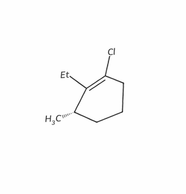 CCC1=C(Cl)CCC[C@@H]1C